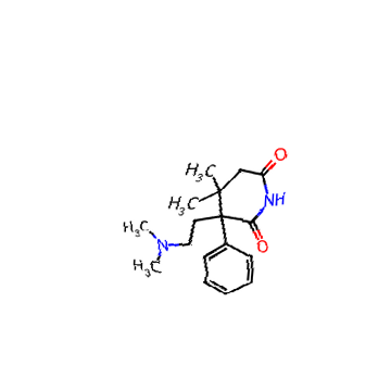 CN(C)CCC1(c2ccccc2)C(=O)NC(=O)CC1(C)C